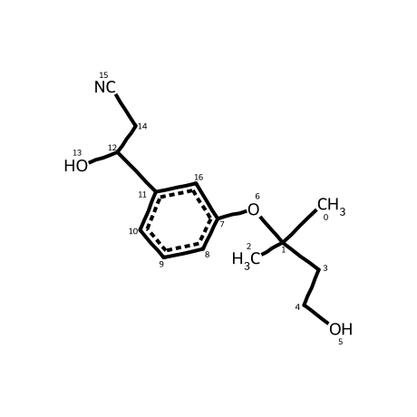 CC(C)(CCO)Oc1cccc(C(O)CC#N)c1